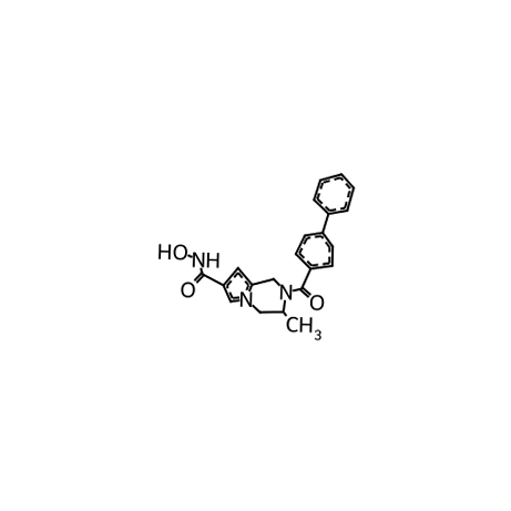 CC1Cn2cc(C(=O)NO)cc2CN1C(=O)c1ccc(-c2ccccc2)cc1